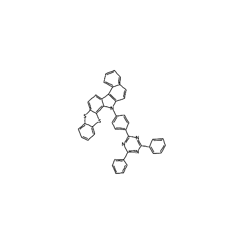 c1ccc(-c2nc(-c3ccccc3)nc(-c3ccc(-n4c5ccc6ccccc6c5c5ccc6c(c54)Sc4ccccc4S6)cc3)n2)cc1